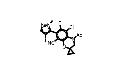 CC(=O)N1CC2(CC2)Oc2c(C#N)c(-c3c(I)cnn3C)c(F)c(Cl)c21